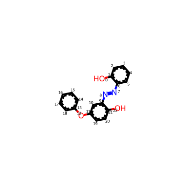 Oc1ccccc1N=Nc1cc(Oc2ccccc2)ccc1O